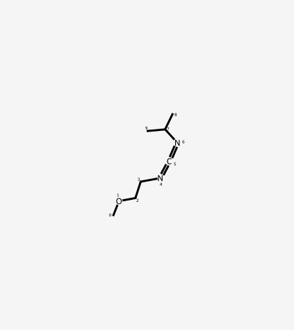 COCCN=C=NC(C)C